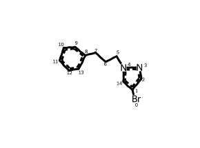 Brc1cnn(CCCc2ccccc2)c1